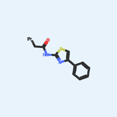 CC(C)CC(=O)Nc1nc(-c2ccccc2)cs1